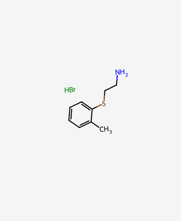 Br.Cc1ccccc1SCCN